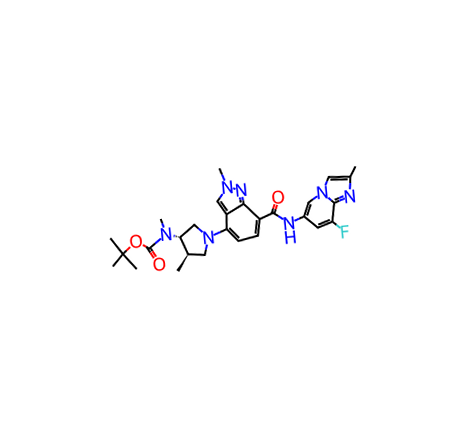 Cc1cn2cc(NC(=O)c3ccc(N4C[C@@H](C)[C@H](N(C)C(=O)OC(C)(C)C)C4)c4cn(C)nc34)cc(F)c2n1